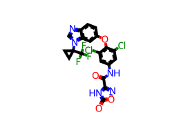 O=C(Nc1cc(Cl)c(Oc2ccc3ncn(C4(C(F)(F)F)CC4)c3c2)c(Cl)c1)c1noc(=O)[nH]1